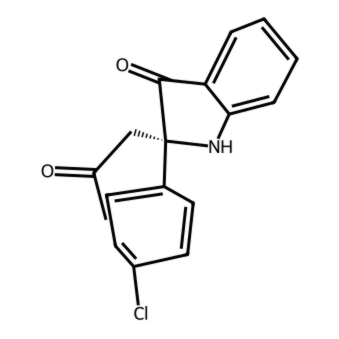 CC(=O)C[C@@]1(c2ccc(Cl)cc2)Nc2ccccc2C1=O